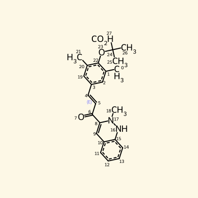 Cc1cc(/C=C/C(=O)C2=Cc3ccccc3NN2C)cc(C)c1OC(C)(C)C(=O)O